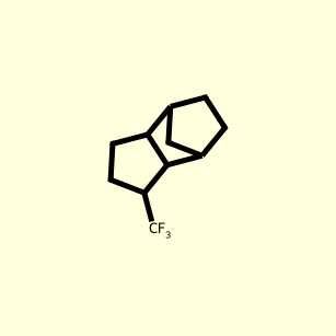 FC(F)(F)C1CCC2C3CCC(C3)C21